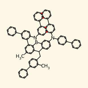 Cc1cc2c3c(c1)C(Cc1ccc(-c4ccccc4)cc1C)c1ccc(N(c4ccc(-c5ccccc5)cc4)c4ccc(-c5ccccc5)cc4)cc1B3N(c1cccc(-c3ccccc3)c1)c1ccc(-c3ccccc3)cc1-2